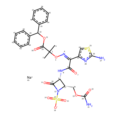 CC(C)(O/N=C(\C(=O)N[C@H]1C(=O)N(S(=O)(=O)[O-])[C@H]1COC(N)=O)c1csc(N)n1)C(=O)OC(c1ccccc1)c1ccccc1.[Na+]